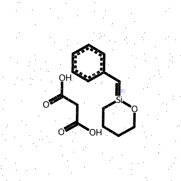 C(/c1ccccc1)=[Si]1/CCCCO1.O=C(O)CC(=O)O